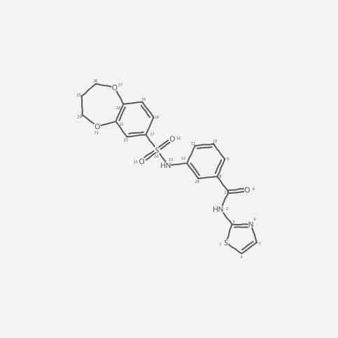 O=C(Nc1nccs1)c1cccc(NS(=O)(=O)c2ccc3c(c2)OCCCO3)c1